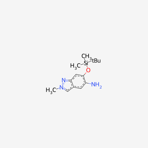 Cn1cc2cc(N)c(O[Si](C)(C)C(C)(C)C)cc2n1